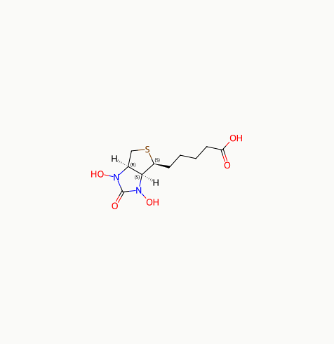 O=C(O)CCCC[C@@H]1SC[C@H]2[C@@H]1N(O)C(=O)N2O